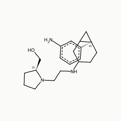 Nc1cccc([C@]23CCC(NCCN4CCC[C@H]4CO)CC2C3)c1